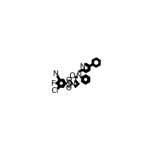 N#Cc1cc(S(=O)(=O)N2CC[C@@H]2C(=O)N(Cc2ccc(C3CCCCC3)cn2)c2ccccc2)cc(Cl)c1F